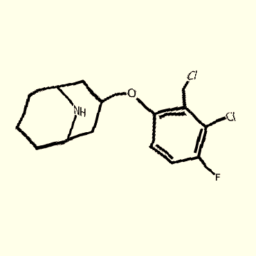 Fc1ccc(OC2CC3CCCC(C2)N3)c(Cl)c1Cl